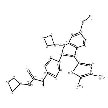 CCOc1ccc2c(-c3nc(C)c(C)s3)c(-c3ccc(NC(=O)NC4CCC4)cc3)n(C3CCC3)c2c1